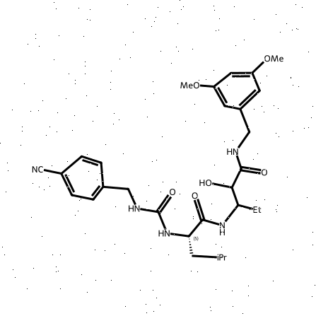 CCC(NC(=O)[C@H](CC(C)C)NC(=O)NCc1ccc(C#N)cc1)C(O)C(=O)NCc1cc(OC)cc(OC)c1